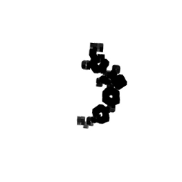 CN1CCC(Oc2ccc(N3C(=S)N(c4cnc(C=N)c(Cl)c4)C(=O)C34CCC4)cc2)CC1